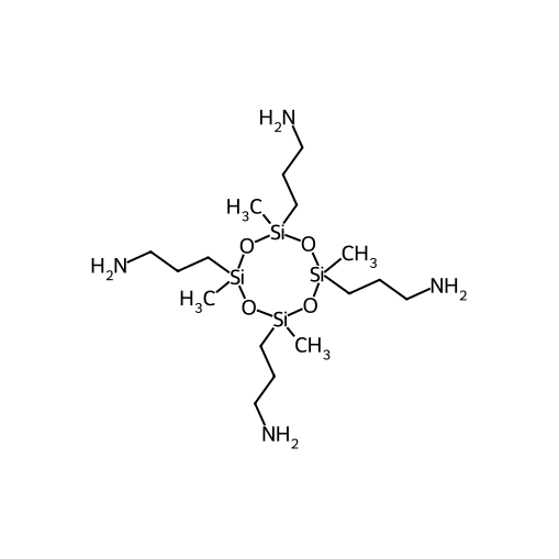 C[Si]1(CCCN)O[Si](C)(CCCN)O[Si](C)(CCCN)O[Si](C)(CCCN)O1